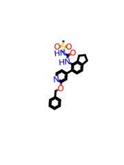 CS(=O)(=O)NC(=O)Nc1c(-c2ccnc(OCc3ccccc3)c2)ccc2c1CCC2